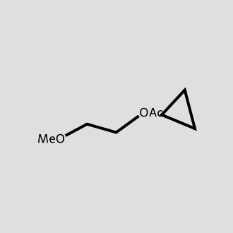 C1CC1.COCCOC(C)=O